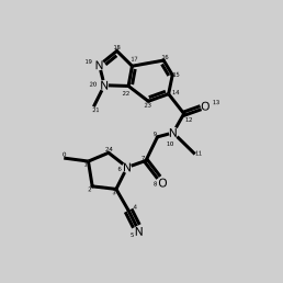 CC1CC(C#N)N(C(=O)CN(C)C(=O)c2ccc3cnn(C)c3c2)C1